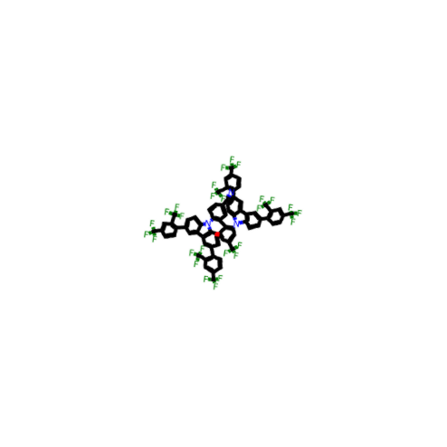 N#Cc1ccc(-n2c3ccc(-c4ccc(C(F)(F)F)cc4C(F)(F)F)cc3c3cc(-c4ccc(C(F)(F)F)cc4C(F)(F)F)ccc32)c(-c2ccc(C(F)(F)F)cc2-n2c3ccc(-c4ccc(C(F)(F)F)cc4C(F)(F)F)cc3c3cc(-c4ccc(C(F)(F)F)cc4C(F)(F)F)ccc32)c1